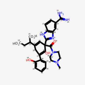 CN1CCN(C(=O)C2(c3nc4cc(C(=N)N)ccc4[nH]3)C=C(C(CC(=O)O)C(=O)O)CC(c3ccccc3O)=C2O)CC1